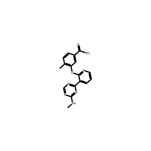 CNc1ncnc(-c2cccnc2Oc2cc(C(N)=O)ccc2C)n1